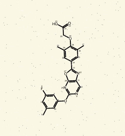 Cc1cc(F)cc(Oc2ncc3nc(-c4cc(C)c(OCC(=O)O)c(C)c4)oc3n2)c1